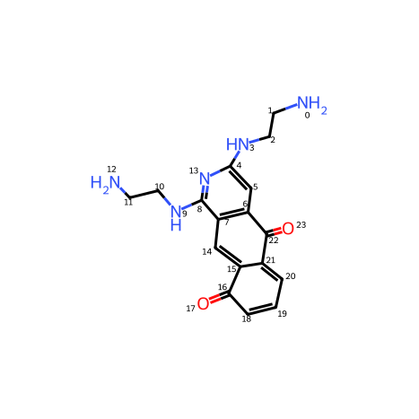 NCCNc1cc2c(c(NCCN)n1)C=C1C(=O)C=CC=C1C2=O